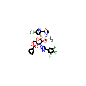 COC1C(Sc2cc(Cl)cnc2-c2nccs2)OC2COC(c3ccccc3)OC2C1n1cc(-c2cc(F)c(F)c(F)c2)nn1